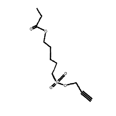 C#CCOS(=O)(=O)CCCCCOC(=O)CC